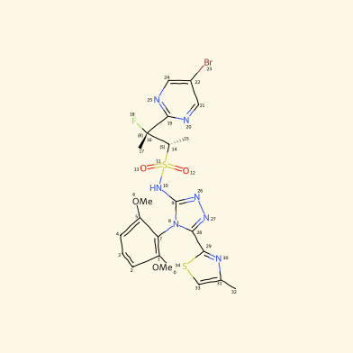 COc1cccc(OC)c1-n1c(NS(=O)(=O)[C@@H](C)[C@](C)(F)c2ncc(Br)cn2)nnc1-c1nc(C)cs1